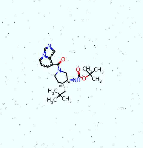 CC(C)(C)C[C@@H]1CCN(C(=O)c2cccn3cncc23)C[C@H]1NC(=O)OC(C)(C)C